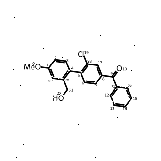 COc1ccc(-c2ccc(C(=O)c3ccccc3)cc2Cl)c(CO)c1